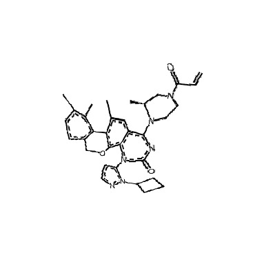 C=CC(=O)N1CCN(c2nc(=O)n(-c3ccnn3C3CCC3)c3c4c(c(C)cc23)-c2c(ccc(C)c2C)CO4)[C@@H](C)C1